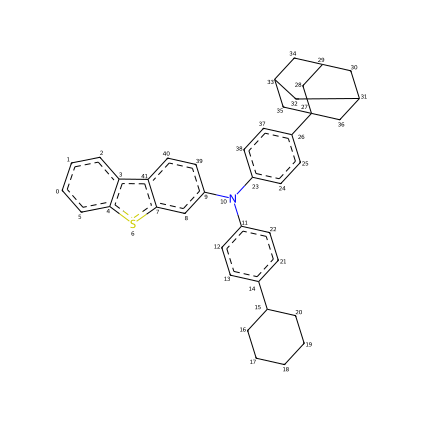 c1ccc2c(c1)sc1cc(N(c3ccc(C4CCCCC4)cc3)c3ccc(C45CC6CC(CC(C6)C4)C5)cc3)ccc12